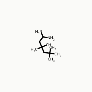 CC(C)(C)CC(C)(C)CC(N)N